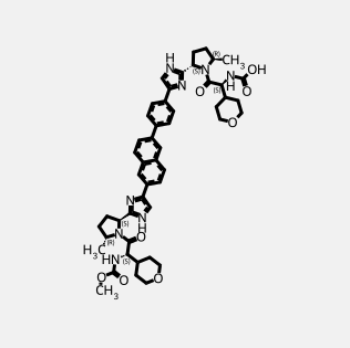 COC(=O)N[C@H](C(=O)N1[C@H](C)CC[C@H]1c1nc(-c2ccc3cc(-c4ccc(-c5c[nH]c([C@@H]6CC[C@@H](C)N6C(=O)[C@@H](NC(=O)O)C6CCOCC6)n5)cc4)ccc3c2)c[nH]1)C1CCOCC1